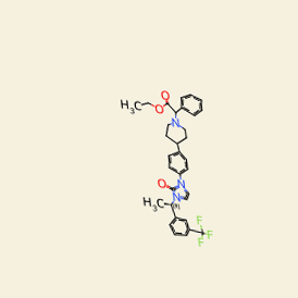 CCOC(=O)C(c1ccccc1)N1CCC(c2ccc(-n3ccn([C@H](C)c4cccc(C(F)(F)F)c4)c3=O)cc2)CC1